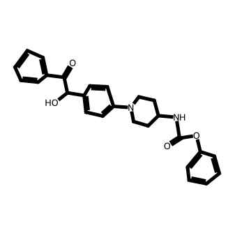 O=C(NC1CCN(c2ccc(C(O)C(=O)c3ccccc3)cc2)CC1)Oc1ccccc1